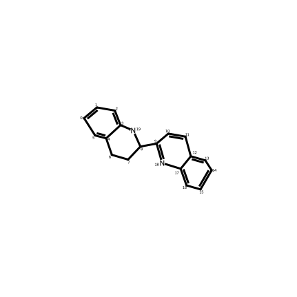 c1ccc2c(c1)CCC(c1ccc3ccccc3n1)[N]2